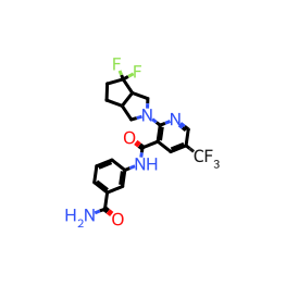 NC(=O)c1cccc(NC(=O)c2cc(C(F)(F)F)cnc2N2CC3CCC(F)(F)C3C2)c1